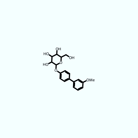 COc1cccc(-c2ccc(OC3OC(CO)C(O)C(O)C3O)cc2)c1